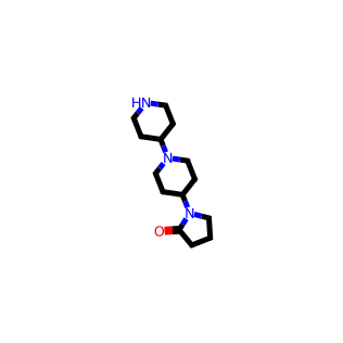 O=C1CCCN1C1CCN(C2CCNCC2)CC1